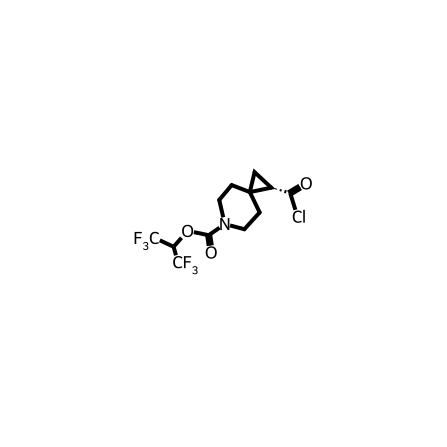 O=C(Cl)[C@H]1CC12CCN(C(=O)OC(C(F)(F)F)C(F)(F)F)CC2